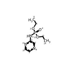 CCOP(=O)(Nc1cnccn1)OCC